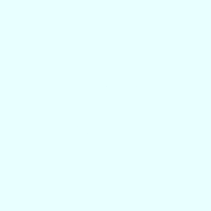 O=C(O)Cc1cc(-c2ccccc2)c(-c2ccccc2)c(-c2ccccc2)c1